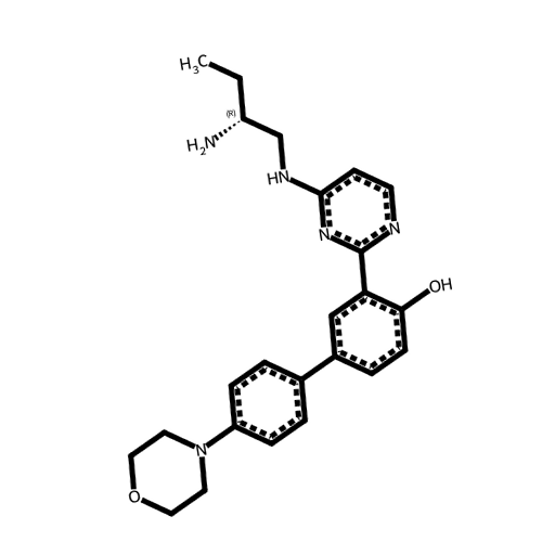 CC[C@@H](N)CNc1ccnc(-c2cc(-c3ccc(N4CCOCC4)cc3)ccc2O)n1